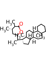 CC1C(=O)OC([C@@H](C)[C@H]2CC[C@H]3[C@@H]4CCC5CCCC[C@]5(C)[C@H]4CC[C@]23C)C[C@@H]1C